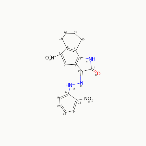 O=C1Nc2c(cc([N+](=O)[O-])c3c2CCCC3)/C1=N\Nc1ccccc1[N+](=O)[O-]